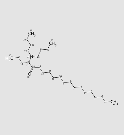 CCCCCCCCCCCCCCCC(=O)N(CCC)N(CCCC)CCCC